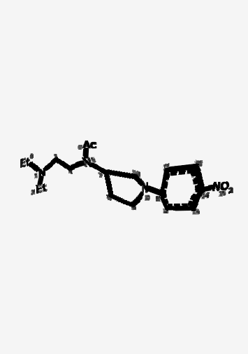 CCN(CC)CCN(C(C)=O)C1CCN(c2ccc([N+](=O)[O-])cc2)C1